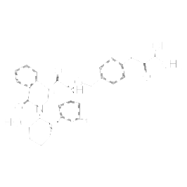 CC(O)C(=O)Cc1ccc(CONC(=O)[C@@H]2c3ccccc3C(=O)N([C@H]3CCCC[C@@H]3O)[C@H]2c2ccc(Cl)cc2Cl)cc1